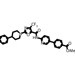 COC(=O)c1ccc(-c2ccc(NC(=O)c3oc(N4CCC(c5ccccc5)CC4)nc3C(F)(F)F)nc2)cc1